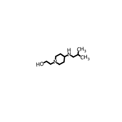 CC(C)CNC1CCN(CCO)CC1